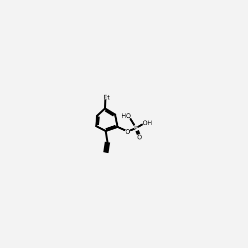 C#Cc1ccc(CC)cc1OP(=O)(O)O